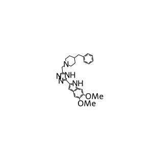 COc1cc2cc(-c3nnc(CN4CCC(Cc5ccccc5)CC4)[nH]3)[nH]c2cc1OC